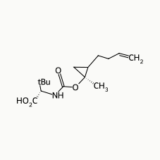 C=CCCC1C[C@]1(C)OC(=O)N[C@H](C(=O)O)C(C)(C)C